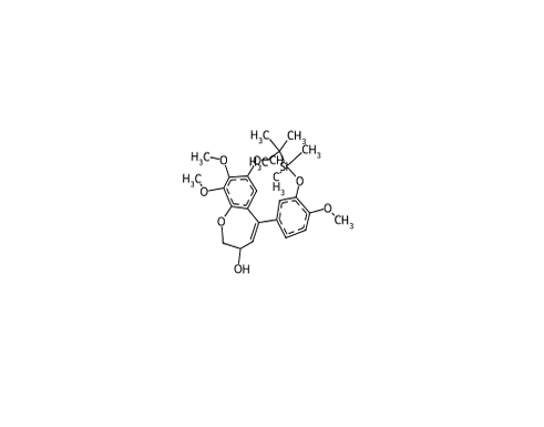 COc1ccc(C2=CC(O)COc3c2cc(OC)c(OC)c3OC)cc1O[Si](C)(C)C(C)(C)C